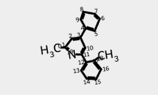 Cc1cc(-c2ccccc2)cc(-c2ccccc2C)n1